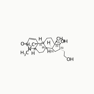 CN1C(=O)C=C[C@]2(C)[C@H]3CC[C@]4(C)[C@@H](O)[C@H](CCO)C[C@H]4[C@@H]3CC[C@@H]12